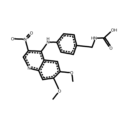 COc1cc2ncc([N+](=O)[O-])c(Nc3ccc(CNC(=O)O)cc3)c2cc1OC